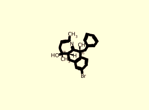 CC1=CC[C@@](C)(O)[C@H]2Cc3cc(Br)ccc3[C@@](C)(Cc3ccccc3)C2=N1